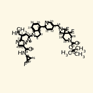 CNc1cc(N2CCc3c(-c4ccc(CN5CC6(CCN(C(=O)OC(C)(C)C)CC6(F)F)C5)cn4)cccc32)nn2c(C(=O)N[C@@H]3C[C@@H]3F)cnc12